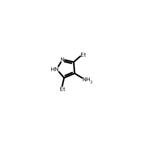 CCc1n[nH]c(CC)c1N